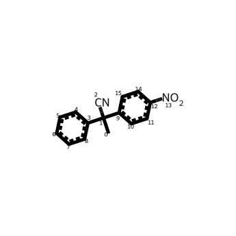 CC(C#N)(c1ccccc1)c1ccc([N+](=O)[O-])cc1